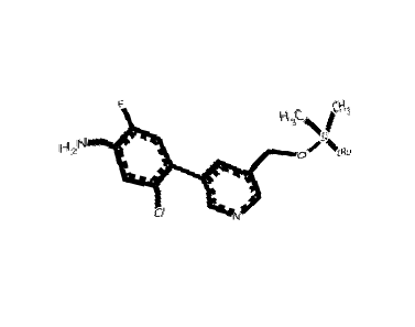 CC(C)(C)[Si](C)(C)OCc1cncc(-c2cc(F)c(N)cc2Cl)c1